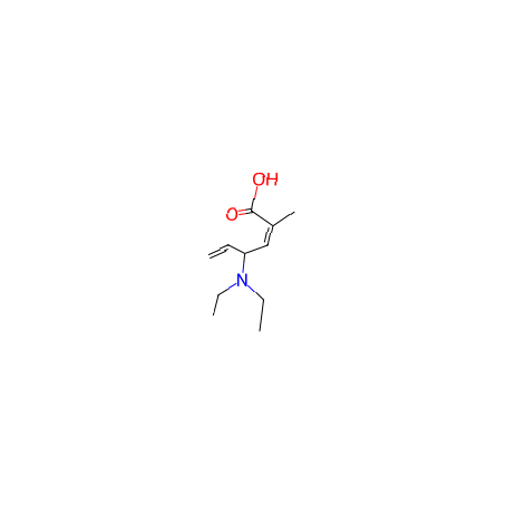 C=CC(C=C(C)C(=O)O)N(CC)CC